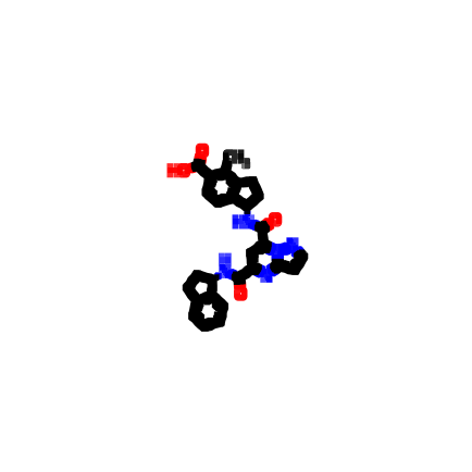 Cc1c(C(=O)O)ccc2c1CC[C@@H]2NC(=O)c1cc(C(=O)N[C@H]2CCc3ccccc32)nc2ccnn12